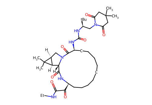 CCNC(=O)C(=O)[C@@H]1CCCCCCCCC[C@H](NC(=O)N[C@H](CN2C(=O)CC(C)(C)CC2=O)C(C)(C)C)C(=O)N2C[C@H]3[C@@H]([C@H]2C(=O)N1)C3(C)C